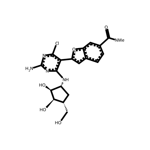 CNC(=O)c1ccc2cc(-c3c(Cl)nc(N)nc3N[C@@H]3C[C@H](CO)[C@@H](O)[C@H]3O)oc2c1